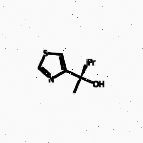 CC(C)[C@](C)(O)c1cscn1